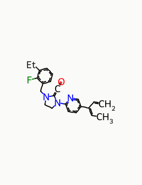 C=C/C(=C\C)c1ccc(N2CCN(Cc3cccc(CC)c3F)C2=C=O)nc1